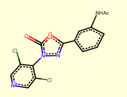 CC(=O)Nc1cccc(-c2nn(-c3c(Cl)cncc3Cl)c(=O)o2)c1